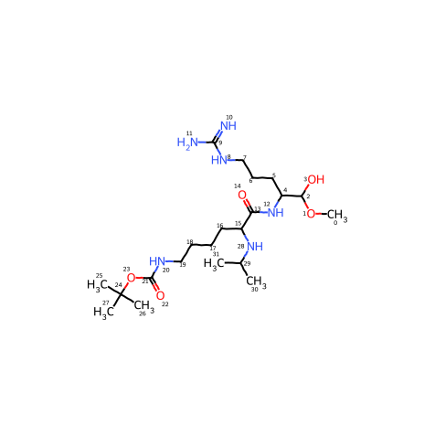 COC(O)C(CCCNC(=N)N)NC(=O)C(CCCCNC(=O)OC(C)(C)C)NC(C)C